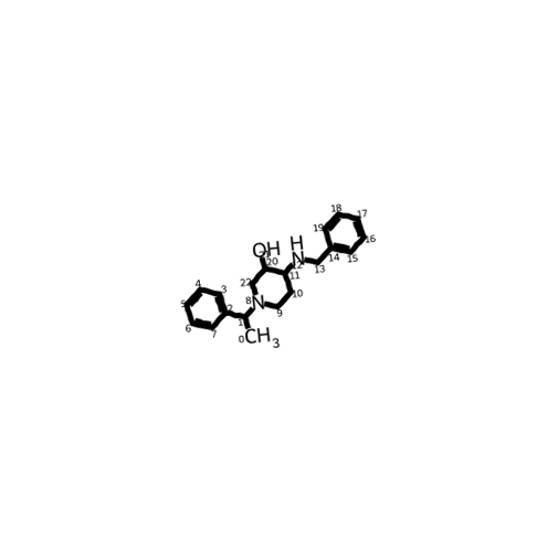 CC(c1ccccc1)N1CCC(NCc2ccccc2)C(O)C1